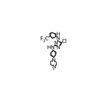 CN1CCN(c2ccc(Nc3ncc(Cl)c(Nc4cccc(C(F)(F)F)c4)n3)cc2)CC1